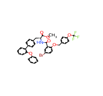 COC(=O)[C@H](Cc1ccc(-c2ccccc2Oc2ccccc2)cc1)NC(=O)c1cc(Br)ccc1OCc1ccc(OC(F)(F)F)cc1